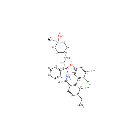 CCC1C=CC(C(N)=O)=C(c2c(Cl)c(F)cc3c2C[C@@](CN[C@H]2CC[C@](C)(O)CC2)(c2ccccc2)O3)C1F